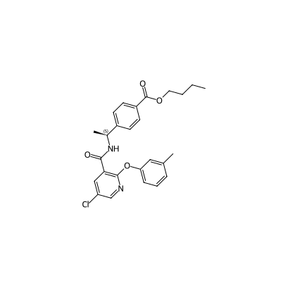 CCCCOC(=O)c1ccc([C@H](C)NC(=O)c2cc(Cl)cnc2Oc2cccc(C)c2)cc1